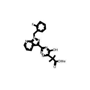 COC(=O)C(C)(C)c1nnc(-c2nn(Cc3ccccc3F)c3ncccc23)nc1O